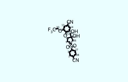 N#Cc1ccc(S(=O)(=O)N2C[C@H](Oc3ccc(C#N)cc3OCC(F)(F)F)[C@](O)(CO)C2)cc1